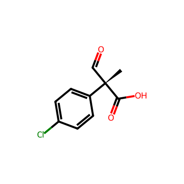 C[C@@](C=O)(C(=O)O)c1ccc(Cl)cc1